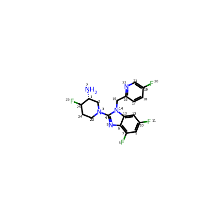 N[C@@H]1CN(c2nc3c(F)cc(F)cc3n2Cc2ccc(F)cn2)CCC1F